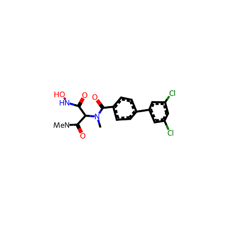 CNC(=O)C(C(=O)NO)N(C)C(=O)c1ccc(-c2cc(Cl)cc(Cl)c2)cc1